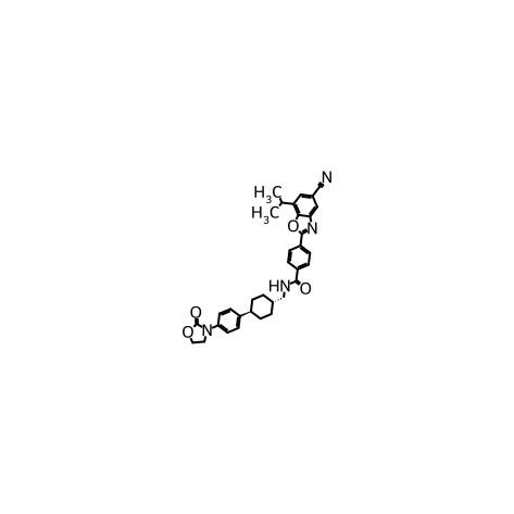 CC(C)c1cc(C#N)cc2nc(-c3ccc(C(=O)NC[C@H]4CC[C@H](c5ccc(N6CCOC6=O)cc5)CC4)cc3)oc12